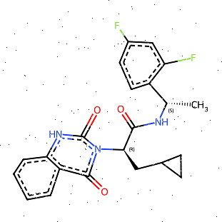 C[C@H](NC(=O)[C@@H](CC1CC1)n1c(=O)[nH]c2ccccc2c1=O)c1ccc(F)cc1F